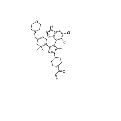 C=CC(=O)N1CCC(n2nc(N3CC=C(CN4CCOCC4)CC3(C)C)c(-c3c(Cl)c(Cl)cc4[nH]ncc34)c2C)CC1